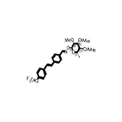 CO[C@@H]1[C@@H](OC)[C@H](C)O[C@@H](ON=Cc2ccc(C=Cc3ccc(OC(F)(F)F)cc3)cc2)[C@@H]1OC